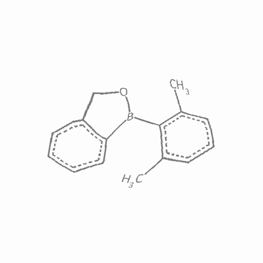 Cc1cccc(C)c1B1OCc2ccccc21